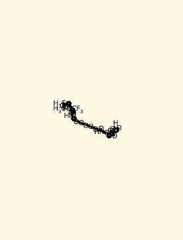 CN(c1cccc(CNc2nc(Nc3ccc(OCCOCCOCCOCCOCCC(=O)NCCOc4cccc5c4C(=O)N(C4CCC(=O)NC4=O)C5=O)cc3)ncc2C(F)(F)F)c1)S(C)(=O)=O